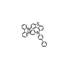 c1ccc(-c2ccc(N(c3ccccc3)c3cccc4sc5ccc(Nc6ccccc6-c6ccccc6)cc5c34)cc2)cc1